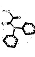 C=C(C(=O)OC)N(c1ccccc1)c1ccccc1